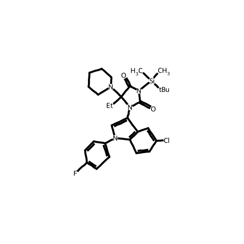 CCC1(N2CCCCC2)C(=O)N([Si](C)(C)C(C)(C)C)C(=O)N1c1cn(-c2ccc(F)cc2)c2ccc(Cl)cc12